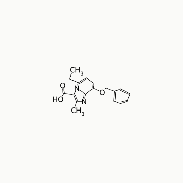 CCc1ccc(OCc2ccccc2)c2nc(C)c(C(=O)O)n12